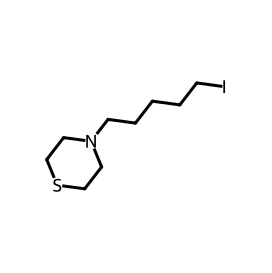 ICCCCCN1CCSCC1